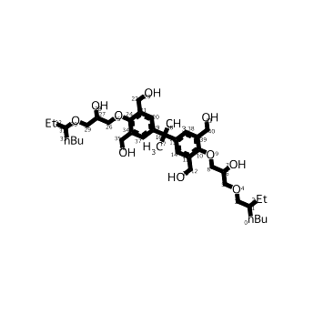 CCCCC(CC)COCC(O)COc1c(CO)cc(C(C)(C)c2cc(CO)c(OCC(O)COC(CC)CCCC)c(CO)c2)cc1CO